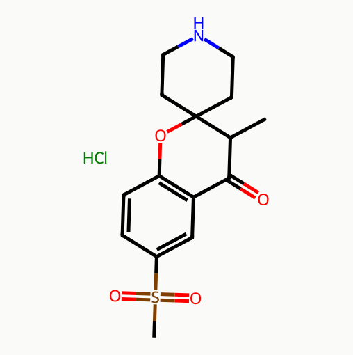 CC1C(=O)c2cc(S(C)(=O)=O)ccc2OC12CCNCC2.Cl